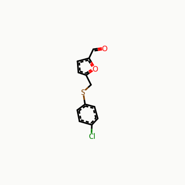 O=Cc1ccc(CSc2ccc(Cl)cc2)o1